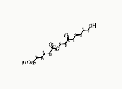 O=C(CCCCCO)CCOC(=O)CCCCCO